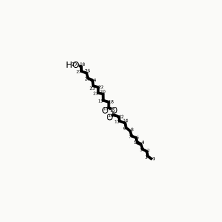 CCCCC=CCCCCCCCC(=O)OC(=O)CCCCCCCCCCCO